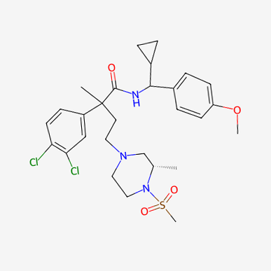 COc1ccc(C(NC(=O)C(C)(CCN2CCN(S(C)(=O)=O)[C@@H](C)C2)c2ccc(Cl)c(Cl)c2)C2CC2)cc1